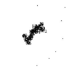 CN(C)CCC(CSc1ccccc1)Nc1ccc(S(=O)(=O)Nc2ncnc3cc(N4CCN(Cc5cc(-c6ccccc6)ccc5-c5ccccc5)CC4)ccc23)cc1[N+](=O)[O-]